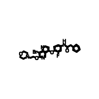 O=C(Cc1ccccc1)Nc1ccc(Oc2ccnc3c(Br)c(OCCN4CCOCC4)ncc23)c(F)c1